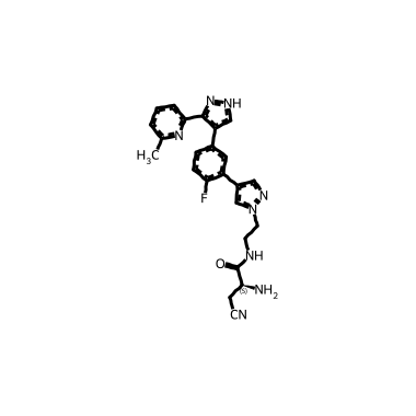 Cc1cccc(-c2n[nH]cc2-c2ccc(F)c(-c3cnn(CCNC(=O)[C@@H](N)CC#N)c3)c2)n1